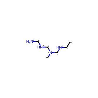 CCNCN(C)CNCN